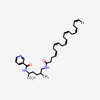 CC/C=C\C/C=C\C/C=C\C/C=C\C/C=C\C/C=C\CCC(=O)NCC(C)CCC(NC(=O)c1cccnc1)C(=O)O